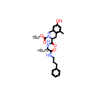 CCCC[C@@H](NC(=O)C(Cc1c(C)cc(O)cc1C)NC(=O)OC(C)(C)C)C(=O)NCCCc1ccccc1